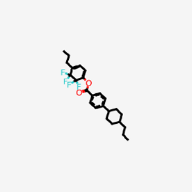 CCCC1=CC=C(OC(=O)c2ccc(C3CCC(CCC)CC3)cc2)C(F)(F)C1(F)F